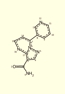 NC(=O)c1cnn2c(-c3cccnc3)ccnc12